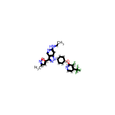 CCNc1cc2c(cn1)c(-c1cc(C)no1)nn2[C@H]1CC[C@@H](Oc2nccc(C(F)(F)F)c2F)CC1